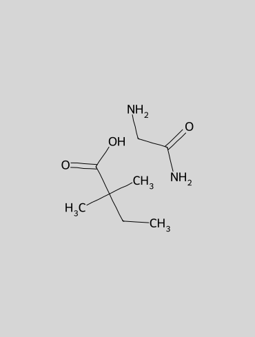 CCC(C)(C)C(=O)O.NCC(N)=O